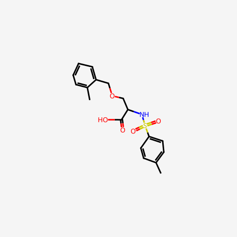 Cc1ccc(S(=O)(=O)NC(COCc2ccccc2C)C(=O)O)cc1